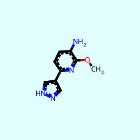 COc1nc(-c2cn[nH]c2)ccc1N